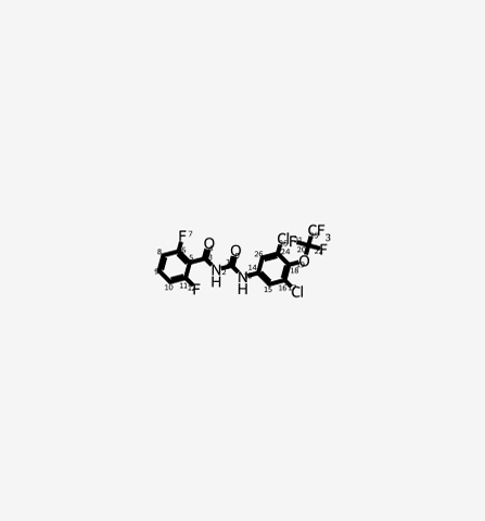 O=C(NC(=O)c1c(F)cccc1F)Nc1cc(Cl)c(OC(F)(F)C(F)(F)F)c(Cl)c1